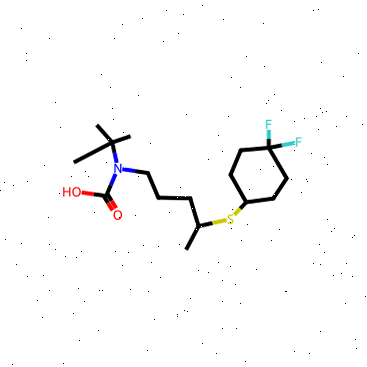 CC(CCCN(C(=O)O)C(C)(C)C)SC1CCC(F)(F)CC1